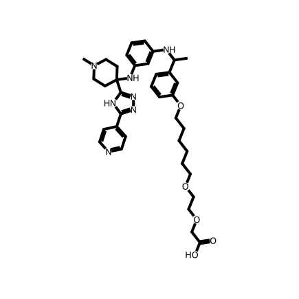 CC(Nc1cccc(NC2(c3nnc(-c4ccncc4)[nH]3)CCN(C)CC2)c1)c1cccc(OCCCCCCOCCOCC(=O)O)c1